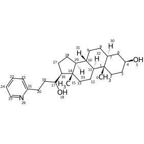 C[C@]12CC[C@H](O)C[C@@H]1CC[C@@H]1[C@@H]2CC[C@]2(C)[C@@H](C(O)CCc3ccccn3)CC[C@@H]12